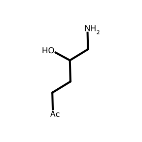 CC(=O)CCC(O)CN